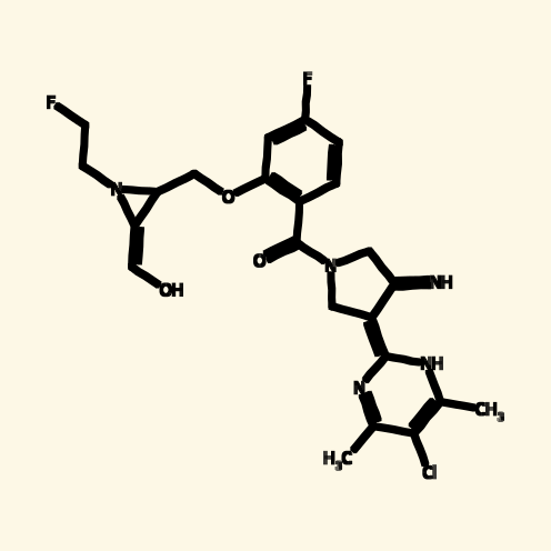 CC1=N/C(=C2\CN(C(=O)c3ccc(F)cc3OCC3/C(=C\O)N3CCF)CC2=N)NC(C)=C1Cl